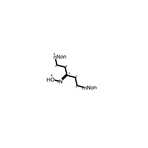 CCCCCCCCCCCC(CCCCCCCCCCC)=NO